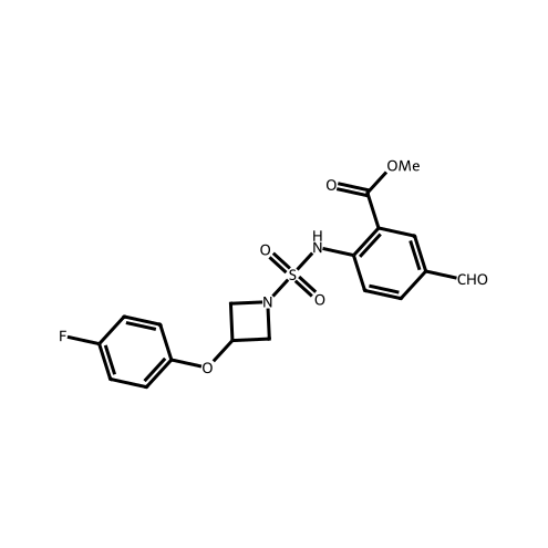 COC(=O)c1cc(C=O)ccc1NS(=O)(=O)N1CC(Oc2ccc(F)cc2)C1